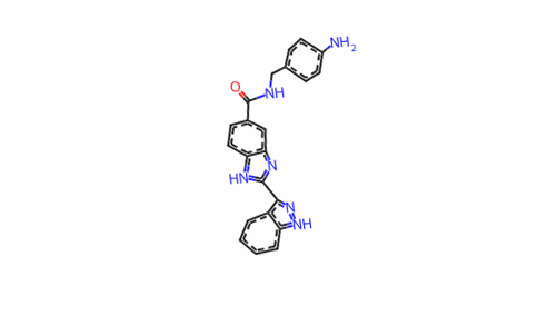 Nc1ccc(CNC(=O)c2ccc3[nH]c(-c4n[nH]c5ccccc45)nc3c2)cc1